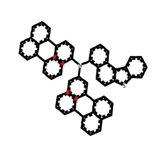 c1ccc(-c2cccc3cccc(-c4ccc(N(c5cccc(-c6cccc7cccc(-c8ccccc8)c67)c5)c5cccc6c5ccc5sc7ccccc7c56)cc4)c23)cc1